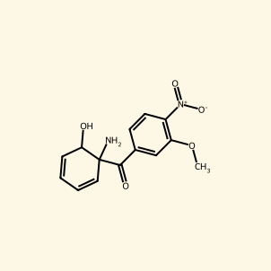 COc1cc(C(=O)C2(N)C=CC=CC2O)ccc1[N+](=O)[O-]